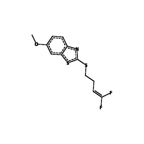 COc1ccc2nc(SCCC=C(F)F)sc2c1